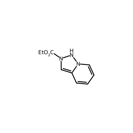 CCOC(=O)N1C=C2C=CC=CN2N1